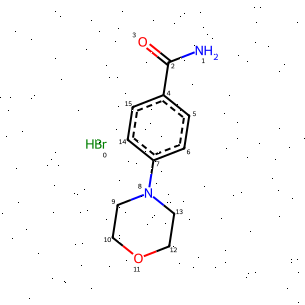 Br.NC(=O)c1ccc(N2CCOCC2)cc1